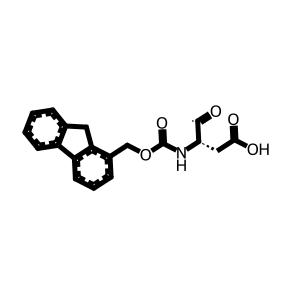 O=[C][C@H](CC(=O)O)NC(=O)OCc1cccc2c1Cc1ccccc1-2